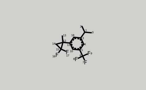 CC(C)c1cc(C(F)(F)F)cc(C2(C)CC2(F)F)c1